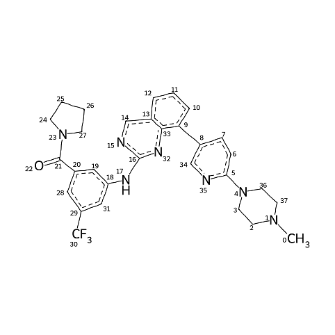 CN1CCN(c2ccc(-c3cccc4cnc(Nc5cc(C(=O)N6CCCC6)cc(C(F)(F)F)c5)nc34)cn2)CC1